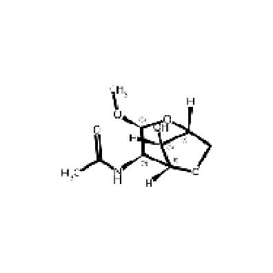 CO[C@H]1O[C@@H]2CO[C@@H]([C@@H]2O)[C@H]1NC(C)=O